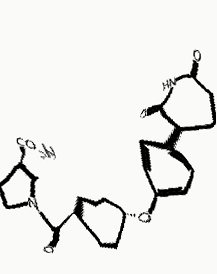 O=C1CCC(c2ccc(O[C@H]3CC[C@H](C(=O)N4CC[C@@H](C(=O)O)C4)CC3)cc2)C(=O)N1